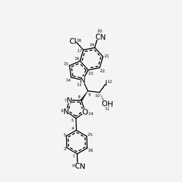 N#Cc1ccc(-c2nnc([C@H]([C@@H](O)I)n3ccc4c(Cl)c(C#N)ccc43)o2)cc1